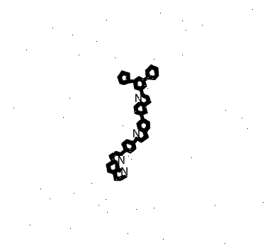 c1ccc(-c2cc(-c3ccccc3)cc(-c3ccc4cc(-c5ccc6ccc(-c7ccc(-c8ccc9ccc%10cccnc%10c9n8)cc7)nc6c5)ccc4n3)c2)cc1